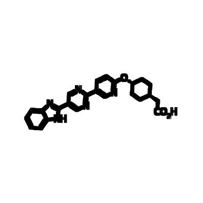 O=C(O)C[C@H]1CC[C@H](Oc2ccc(-c3ncc(-c4nc5ccccc5[nH]4)cn3)cn2)CC1